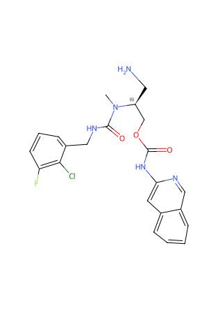 CN(C(=O)NCc1cccc(F)c1Cl)[C@@H](CN)COC(=O)Nc1cc2ccccc2cn1